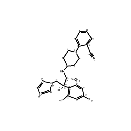 C[C@@H](NC1CCN(c2ccccc2C#N)CC1)[C@](O)(Cn1cncn1)c1ccc(F)cc1F